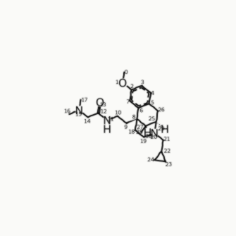 COc1ccc2c(c1)[C@@]1(CCNC(=O)CN(C)C)CCN(CC3CC3)[C@H](C2)[C@@H]1C